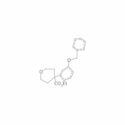 CCOC(=O)C1(c2cccc(OCc3ccccc3)c2)CCOCC1